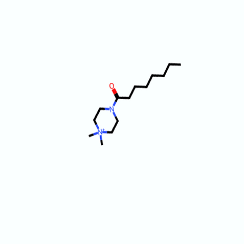 CCCCCCCC(=O)N1CC[N+](C)(C)CC1